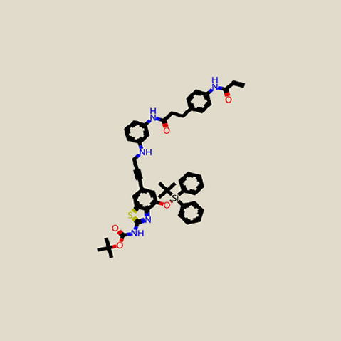 C=CC(=O)Nc1ccc(CCC(=O)Nc2cccc(NCC#Cc3cc(O[Si](c4ccccc4)(c4ccccc4)C(C)(C)C)c4nc(NC(=O)OC(C)(C)C)sc4c3)c2)cc1